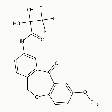 COc1ccc2c(c1)C(=O)c1cc(NC(=O)C(C)(O)C(F)(F)F)ccc1CO2